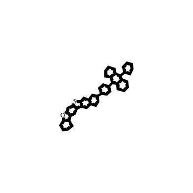 c1ccc(-c2c3ccccc3c(-c3ccc(-c4ccc5cc6c(cc5c4)sc4cc5oc7ccccc7c5cc46)cc3)c3ccccc23)cc1